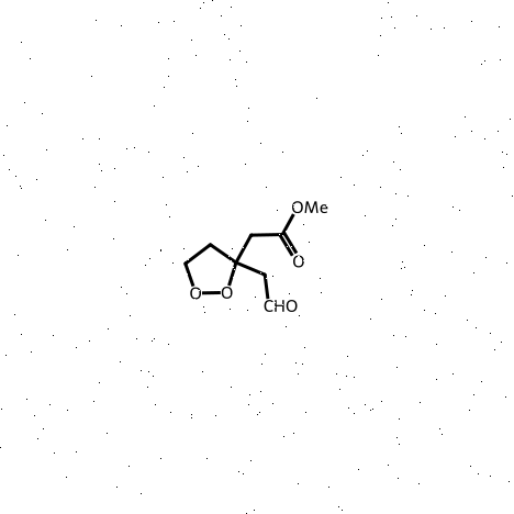 COC(=O)CC1(CC=O)CCOO1